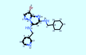 Brc1cnn2c(NCc3cccnc3)cc(NCC3CCCCC3)nc12